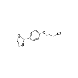 ClCCCOc1ccc(C2=NCCO2)cc1